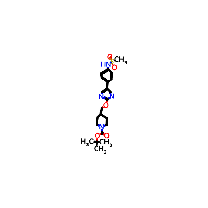 CC(C)(C)OC(=O)N1CCC(COc2ncc(-c3ccc(NS(C)(=O)=O)cc3)cn2)CC1